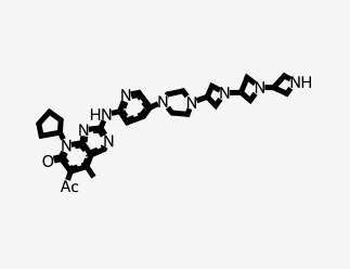 CC(=O)c1c(C)c2cnc(Nc3ccc(N4CCN(C5CN(C6CN(C7CNC7)C6)C5)CC4)cn3)nc2n(C2CCCC2)c1=O